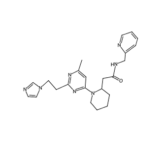 Cc1cc(N2CCCCC2CC(=O)NCc2ccccn2)nc(CCn2ccnc2)n1